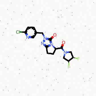 O=C(C1CCc2nn(Cc3ccc(Cl)nc3)c(=O)n21)N1C[C@@H](F)[C@@H](F)C1